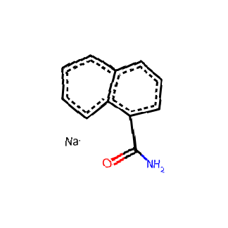 NC(=O)c1cccc2ccccc12.[Na]